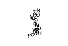 CN1CCOc2cc3nccc(Oc4ccc(-c5cnc(Nc6ccc(F)cc6)n(C)c5=O)nc4)c3cc2OCC1